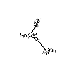 CC(C)(C)OC(=O)NCCCCCCOc1ccc(CC(NCCCCCNC(=O)OC(C)(C)C)C(=O)O)cc1